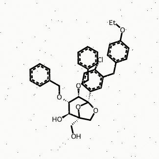 CCOc1ccc(Cc2cc([C@]34OC[C@](CO)(O3)[C@@H](O)[C@H](OCc3ccccc3)[C@H]4OCc3ccccc3)ccc2Cl)cc1